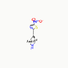 O=[N+]([O-])c1cnc(C2=C[C@@H]3CNC[C@@H]3C2)s1